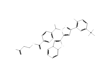 CC(c1ccc(C(=O)NCCC(=O)O)cc1)n1nc(-c2cc(C(F)(F)F)ccc2F)cc1C1=CC2C=CC=CC2N1